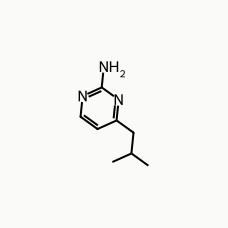 CC(C)Cc1ccnc(N)n1